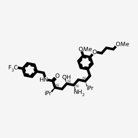 COCCCOc1cc(C[C@@H](C[C@H](N)[C@@H](O)C[C@H](C(=O)NCc2ccc(C(F)(F)F)cc2)C(C)C)C(C)C)ccc1OC